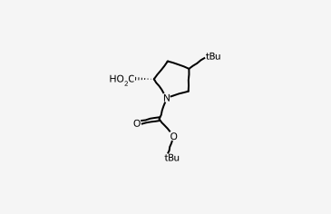 CC(C)(C)OC(=O)N1CC(C(C)(C)C)C[C@H]1C(=O)O